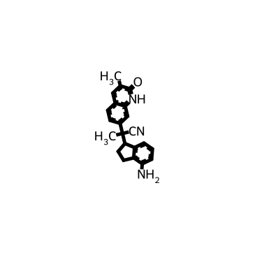 Cc1cc2ccc(C(C)(C#N)C3CCc4c(N)cccc43)cc2[nH]c1=O